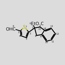 CCOC(=O)C1(c2ccc(C=O)s2)Cc2ccccc2C1